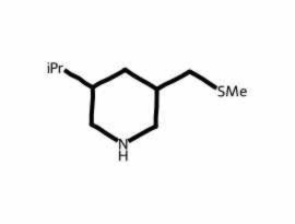 CSCC1CNCC(C(C)C)C1